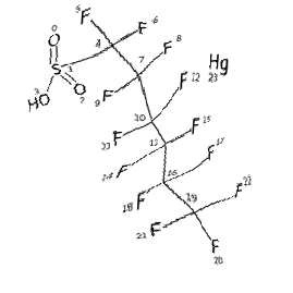 O=S(=O)(O)C(F)(F)C(F)(F)C(F)(F)C(F)(F)C(F)(F)C(F)(F)F.[Hg]